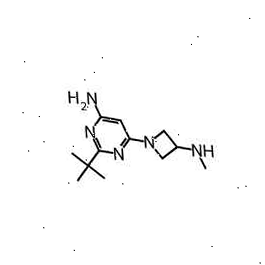 CNC1CN(c2cc(N)nc(C(C)(C)C)n2)C1